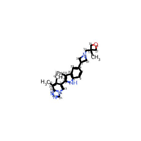 Cc1c(-c2[nH]c3ccc(C4CN(CC5(C)COC5)C4)cc3c2C(C)C)cn2cnnc2c1C